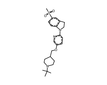 CC(C)(C)N1CCC(COc2ccc(N3CCc4cc(S(C)(=O)=O)ccc43)nc2)CC1